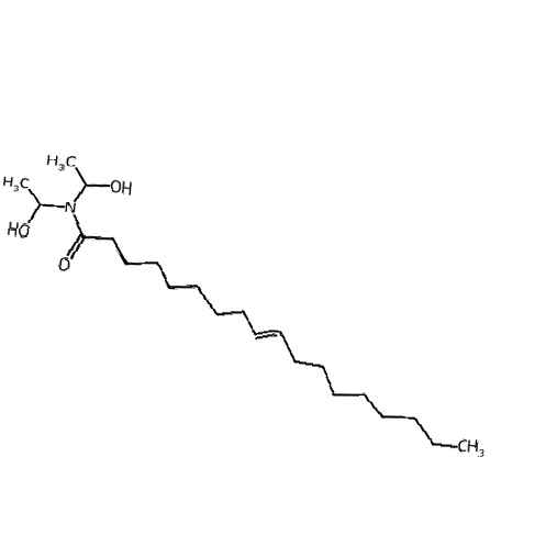 CCCCCCCCC=CCCCCCCCC(=O)N(C(C)O)C(C)O